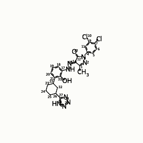 CC1=NN(c2ccc(Cl)c(Cl)c2)C(=O)/C1=N/Nc1cccc(C2CCCC(c3nnn[nH]3)C2)c1O